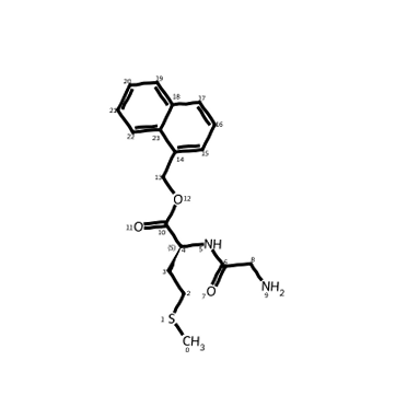 CSCC[C@H](NC(=O)CN)C(=O)OCc1cccc2ccccc12